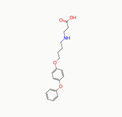 O=C(O)CCNCCCCOc1ccc(Oc2ccccc2)cc1